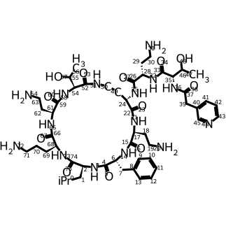 CC(C)C[C@@H]1NC(=O)[C@@H](Cc2ccccc2)NC(=O)[C@H](CCN)NC(=O)[C@@H](NC(=O)[C@H](CCN)NC(=O)[C@@H](NC(=O)Cc2cccnc2)C(C)O)CCNC(=O)[C@H](C(C)O)NC(=O)[C@H](CCN)NC(=O)[C@H](CCCN)NC1=O